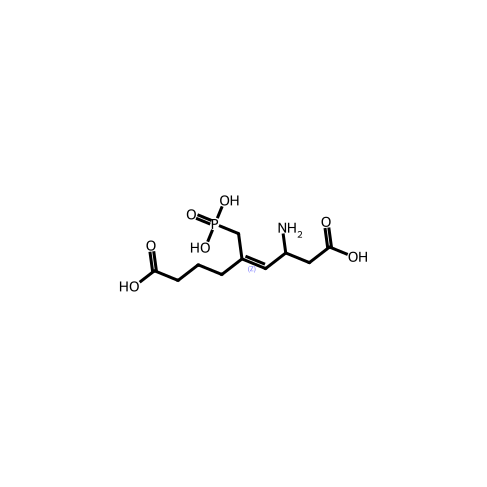 NC(/C=C(/CCCC(=O)O)CP(=O)(O)O)CC(=O)O